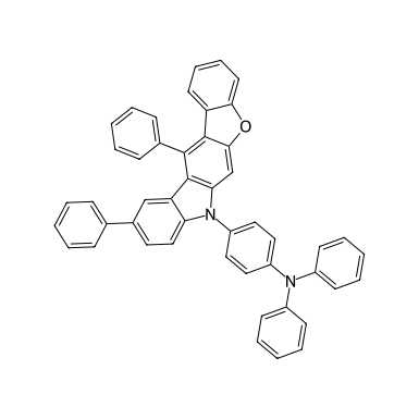 c1ccc(-c2ccc3c(c2)c2c(-c4ccccc4)c4c(cc2n3-c2ccc(N(c3ccccc3)c3ccccc3)cc2)oc2ccccc24)cc1